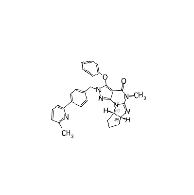 Cc1cccc(-c2ccc(Cn3nc4c(c3Oc3ccccc3)C(=O)N(C)C3=N[C@@H]5CCC[C@@H]5N34)cc2)n1